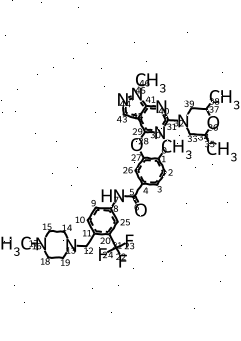 Cc1ccc(C(=O)Nc2ccc(CN3CCN(C)CC3)c(C(F)(F)F)c2)cc1Oc1nc(N2CC(C)OC(C)C2)nc2c1cnn2C